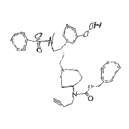 C#CCN(C(=O)OCc1ccccc1)C1CCN(CC[C@H](CN(C)S(=O)(=O)c2ccccc2)c2cccc(Cl)c2)CC1.Cl